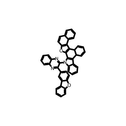 C1=CC2c3c(n(-c4nc5ccccc5nc4-c4ccc5oc6ccccc6c5c4)c4ccccc34)-c3oc4ccc5ccccc5c4c3C2C=C1